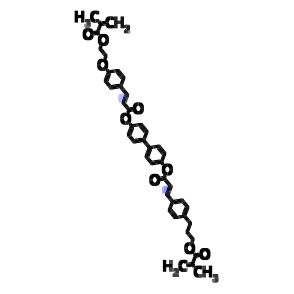 C=C(C)C(=O)OCCCc1ccc(/C=C/C(=O)Oc2ccc(-c3ccc(OC(=O)/C=C/c4ccc(OCCOC(=O)C(=C)C)cc4)cc3)cc2)cc1